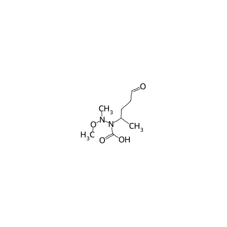 CON(C)N(C(=O)O)C(C)CCC=O